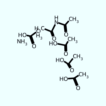 CC(=O)NC(C)=O.CC(=O)O.CC(=O)O.CC(=O)O.CC(=O)O.N